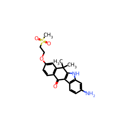 CC1(C)c2cc(OCCS(C)(=O)=O)ccc2C(=O)c2c1[nH]c1cc(N)ccc21